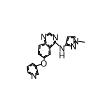 Cn1ccc(Nc2ncnc3ccc(Oc4cccnc4)cc23)n1